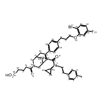 Cc1ccc(CCN(C(=O)C2=C(c3ccc(CCCOc4cc(F)ccc4Br)cc3)CC3CN(C(=O)CCCC(=O)O)CC2N3)C2CC2)cc1